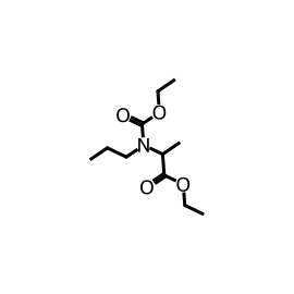 CCCN(C(=O)OCC)C(C)C(=O)OCC